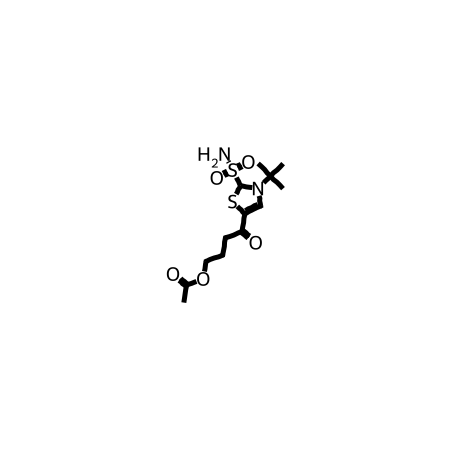 CC(=O)OCCCC(=O)C1=CN(C(C)(C)C)C(S(N)(=O)=O)S1